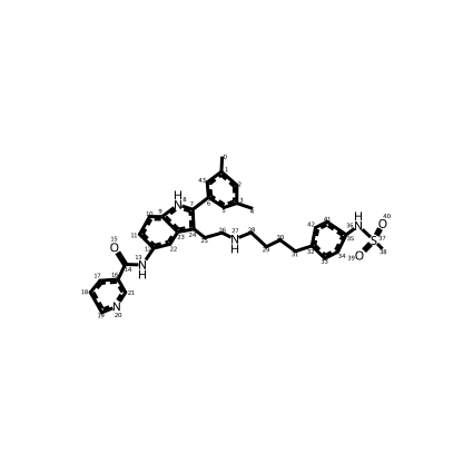 Cc1cc(C)cc(-c2[nH]c3ccc(NC(=O)c4cccnc4)cc3c2CCNCCCCc2ccc(NS(C)(=O)=O)cc2)c1